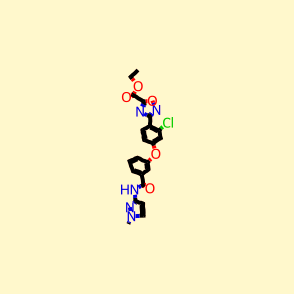 CCOC(=O)c1nc(-c2ccc(Oc3cccc(C(=O)Nc4ccn(C)n4)c3)cc2Cl)no1